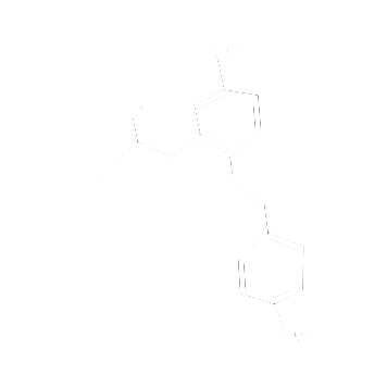 CCOC(=O)C(Cc1cc(C=O)ccc1OCc1ccc(OC)cc1)OC(C)=O